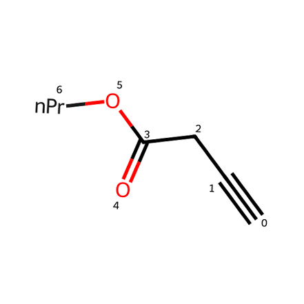 C#CCC(=O)OCCC